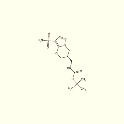 CC(C)(C)OC(=O)NC[C@H]1COc2c(S(N)(=O)=O)cnn2C1